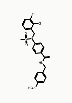 CS(=O)(=O)N(Cc1cccc(Cl)c1Cl)c1ccc(C(=O)NCc2ccc(C(=O)O)cc2)cc1